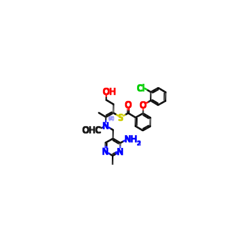 C/C(=C(\CCO)SC(=O)c1ccccc1Oc1ccccc1Cl)N(C=O)Cc1cnc(C)nc1N